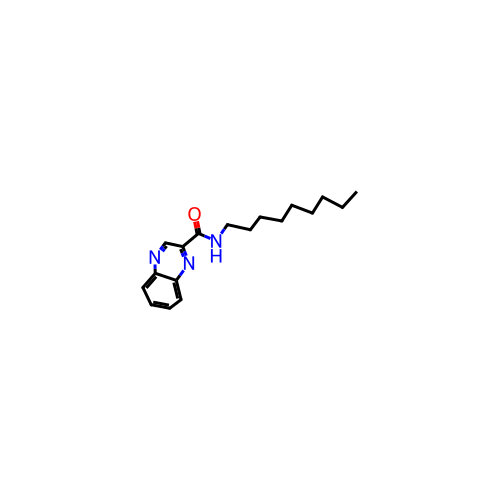 CCCCCCCCCNC(=O)c1cnc2ccccc2n1